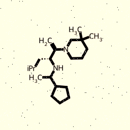 C=C([C@@H](CC(C)C)NC(C)C1CCCC1)N1CCCC(C)(C)C1